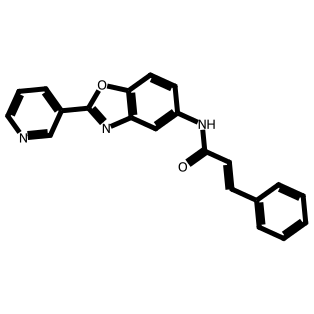 O=C(/C=C/c1ccccc1)Nc1ccc2oc(-c3cccnc3)nc2c1